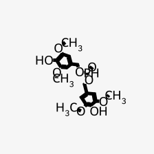 COc1cc(CO[PH](=O)OCc2cc(OC)c(O)c(OC)c2)cc(OC)c1O